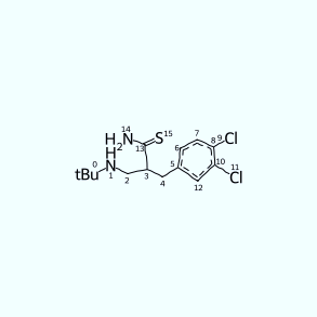 CC(C)(C)NCC(Cc1ccc(Cl)c(Cl)c1)C(N)=S